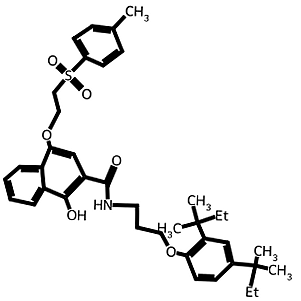 CCC(C)(C)c1ccc(OCCCNC(=O)c2cc(OCCS(=O)(=O)c3ccc(C)cc3)c3ccccc3c2O)c(C(C)(C)CC)c1